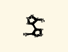 Nc1nonc1-c1nonc1N